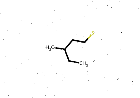 [CH2]C(CC)CC[S]